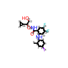 Cc1cc(I)ccc1Nc1cc(F)c(F)cc1C(=O)NOC(CO)C1CC1